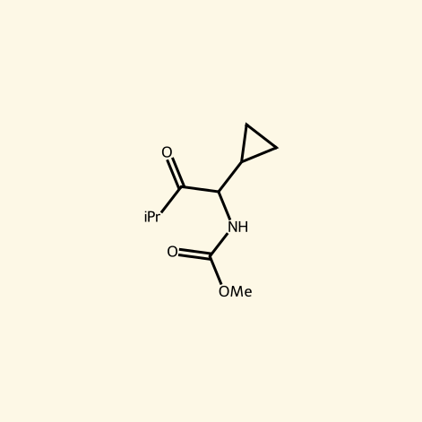 COC(=O)NC(C(=O)C(C)C)C1CC1